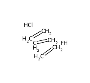 C=C.C=C.C=C.Cl.F